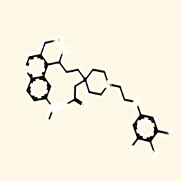 COc1ccc2ncc(CO)c(C(O)CCC3(CC(=O)O)CCN(CCOc4cc(F)c(F)c(F)c4)CC3)c2c1